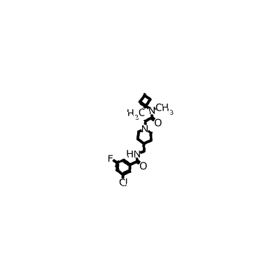 CN(C(=O)CN1CCC(CNC(=O)c2cc(F)cc(Cl)c2)CC1)C1(C)CCC1